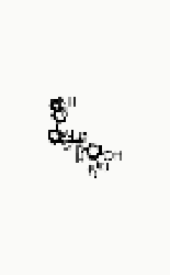 CN(C)C(=O)c1cc(NC(=O)c2nc3c(-c4cnc5[nH]ccc5c4)cccc3s2)ccc1O